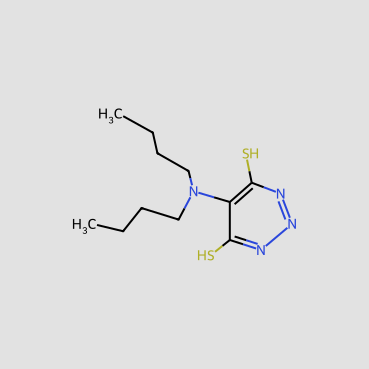 CCCCN(CCCC)c1c(S)nnnc1S